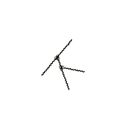 CCCCCCCCCCCCCCCCCCOP(OCCCCCCCCCCCCCCCCCC)OCCCCCCOP(OCCCCCCCCCCCCCCCCCC)OCCCCCCCCCCCCCCCCCC